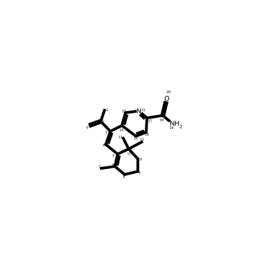 C=C(C)C(=CC1=C(C)CCCC1(C)C)c1ccc(C(N)=O)nc1